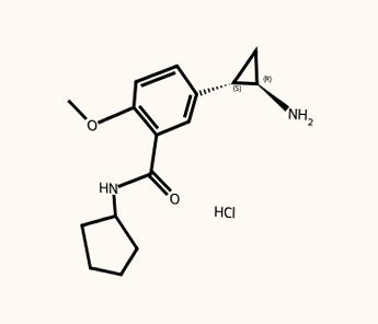 COc1ccc([C@@H]2C[C@H]2N)cc1C(=O)NC1CCCC1.Cl